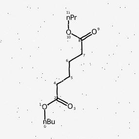 CCCCOC(=O)CCCCC(=O)OCCC